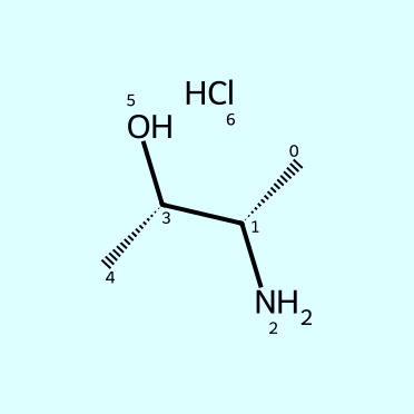 C[C@H](N)[C@H](C)O.Cl